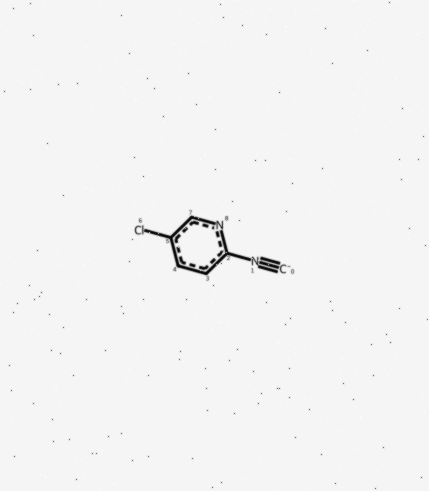 [C-]#[N+]c1ccc(Cl)cn1